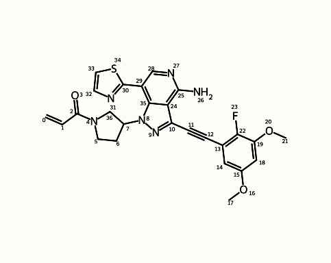 C=CC(=O)N1CCC(n2nc(C#Cc3cc(OC)cc(OC)c3F)c3c(N)ncc(-c4nccs4)c32)C1